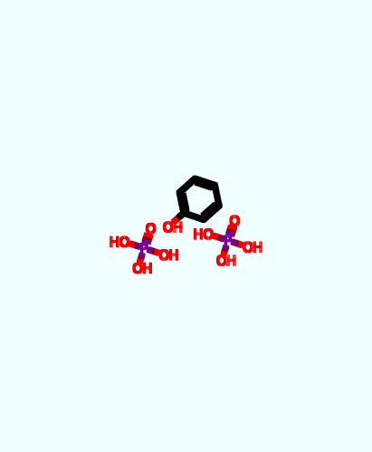 O=P(O)(O)O.O=P(O)(O)O.Oc1ccccc1